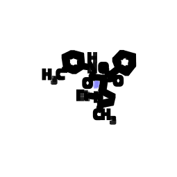 CCN1C(C)=CC/C1=C(/C(=O)Nc1cccc(C)c1)S(=O)(=O)c1ccccc1